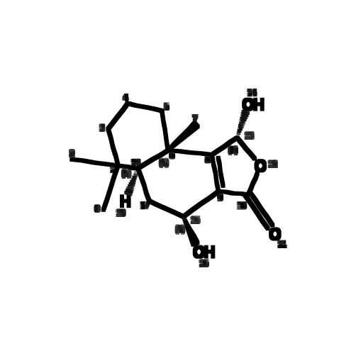 CC1(C)CCC[C@]2(C)C3=C(C(=O)O[C@H]3O)[C@@H](O)C[C@@H]12